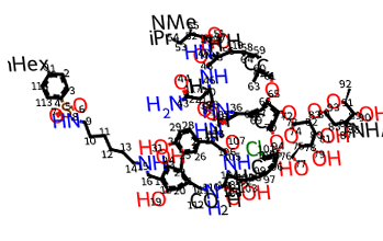 CCCCCCc1ccc(S(=O)(=O)NCCCCCCNCc2c(O)cc3c(c2O)-c2cc(ccc2O)[C@H]2NC(=O)[C@@H]4NC(=O)[C@H](CC(N)=O)NC(=O)[C@H](NC(=O)[C@@H](CC(C)C)NC)[C@H](O)c5ccc(c(C)c5)Oc5cc4cc(c5O[C@@H]4O[C@H](CO)[C@@H](O)[C@H](O)[C@H]4O[C@H]4C[C@](C)(NC(C)=O)[C@H](O)[C@H](C)O4)Oc4ccc(cc4Cl)[C@@H](O)[C@H](NC2=O)C(=O)N[C@@H]3C(=O)O)cc1